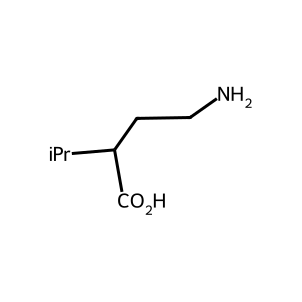 CC(C)C(CCN)C(=O)O